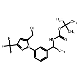 CC(NC(=O)OC(C)(C)C)c1cccc(-n2nc(C(F)(F)F)cc2CO)c1